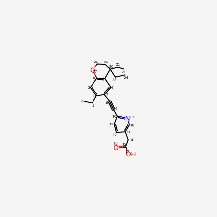 CCc1cc2c(cc1C#Cc1ccc(CC(=O)O)cn1)C(CC)(CC)CCO2